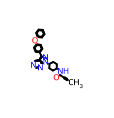 CC#CC(=O)NC1CCC(n2nc(-c3ccc(Oc4ccccc4)cc3)c3cncnc32)CC1